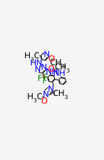 COc1cc(Nc2ncc(C(F)(F)F)c(Nc3ccc(CN4CCN(C(C)=O)C[C@H]4C)c(-c4ccccc4)c3NC(C)=O)n2)c(C)cn1